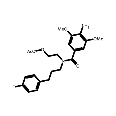 COc1cc(C(=O)N(CCCc2ccc(F)cc2)CCOOC(C)=O)cc(OC)c1C